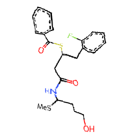 CSC(CCCO)NC(=O)CC(Cc1ccccc1F)SC(=O)c1ccccc1